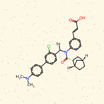 [2H]C(c1ccc(-c2ccc(N(C)C)cc2)cc1Cl)N(C(=O)[C@@H]1C[C@@H]2CC[C@H]1C2)c1cccc(/C=C/C(=O)O)c1